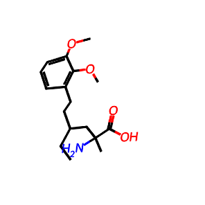 CCC(CCc1cccc(OC)c1OC)CC(C)(N)C(=O)O